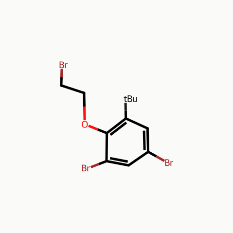 CC(C)(C)c1cc(Br)cc(Br)c1OCCBr